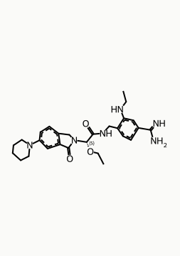 CCNc1cc(C(=N)N)ccc1CNC(=O)[C@H](OCC)N1Cc2ccc(N3CCCCC3)cc2C1=O